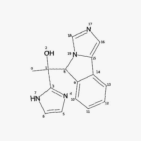 CC(O)(c1ncc[nH]1)C1c2ccccc2-c2cncn21